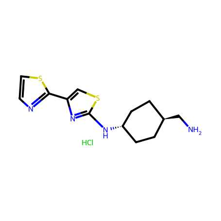 Cl.NC[C@H]1CC[C@H](Nc2nc(-c3nccs3)cs2)CC1